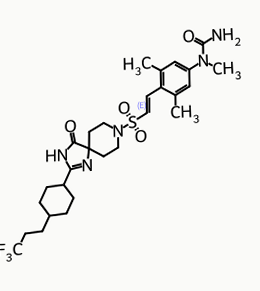 Cc1cc(N(C)C(N)=O)cc(C)c1/C=C/S(=O)(=O)N1CCC2(CC1)N=C(C1CCC(CCC(F)(F)F)CC1)NC2=O